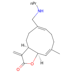 C=C1C(=O)O[C@@H]2C=C(C)CCC=C(CNCCC)CC[C@H]12